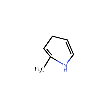 CC1=CCC=CN1